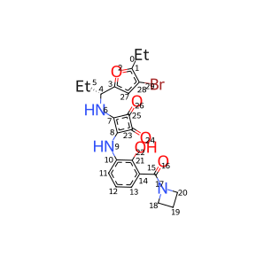 CCc1oc([C@@H](CC)Nc2c(Nc3cccc(C(=O)N4CCC4)c3O)c(=O)c2=O)cc1Br